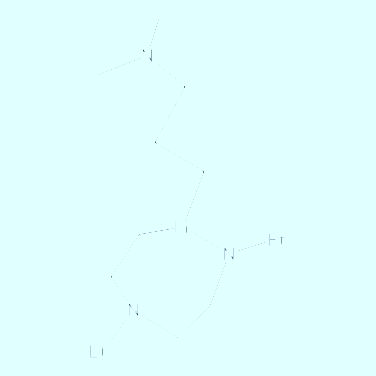 CCN1CC[N](CC)[In]([CH2]CCN(C)C)[CH2]C1